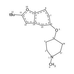 CN1CCC(Oc2ccc3oc(C(C)(C)C)cc3c2)CC1